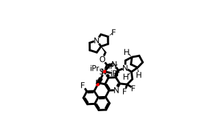 CC(C)[Si](C#Cc1c(F)ccc2cccc(-c3nc4c5c(nc(OC[C@@]67CCCN6C[C@H](F)C7)nc5c3F)N3C[C@H]5CC[C@H](C5)[C@H]3CC4(F)F)c12)(C(C)C)C(C)C